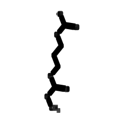 COC(=O)OCCCOC([O])=O